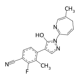 CC1=CN=C(n2ncc(-c3ccc(C#N)c(F)c3C)c2O)C=CC1